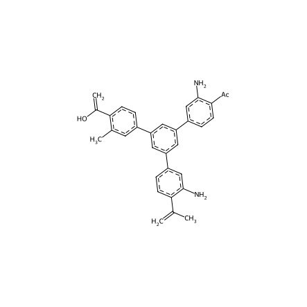 C=C(O)c1ccc(-c2cc(-c3ccc(C(=C)C)c(N)c3)cc(-c3ccc(C(C)=O)c(N)c3)c2)cc1C